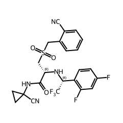 N#Cc1ccccc1CS(=O)(=O)C[C@H](N[C@H](c1ccc(F)cc1F)C(F)(F)F)C(=O)NC1(C#N)CC1